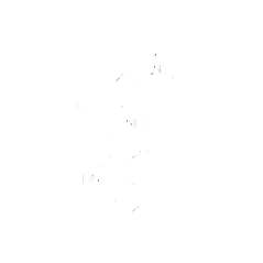 O=C(Nc1cc(N2C3CCC2CC3)ccc1C(F)(F)F)c1c[nH]c2ccccc2c1=O